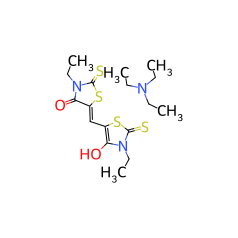 CCN(CC)CC.CCN1C(=O)C(=Cc2sc(=S)n(CC)c2O)SC1=S